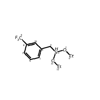 CCO[SiH](Cc1cccc(C(F)(F)F)c1)OCC